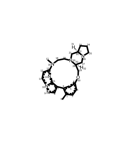 Cc1ccc2cc1-c1cnn3ccc(nc13)N(C)CCN1C[C@H]3CCCN3C[C@H]1CO2